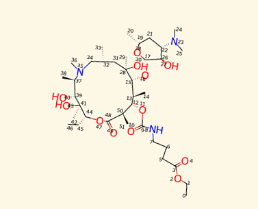 CCOC(=O)CCCNC(=O)O[C@H]1[C@H](C)[C@@H](O[C@@H]2O[C@H](C)C[C@H](N(C)C)[C@H]2O)[C@](C)(O)C[C@@H](C)CN(C)[C@H](C)[C@@H](O)[C@](C)(O)[C@@H](CC)OC(=O)[C@@H]1C